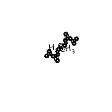 C[Si](C)(c1ccc2c(c1)-c1ccc3c(c1C2)c1cc(-n2c4ccccc4c4ccccc42)ccc1n3-c1ccccc1)c1ccc2c(c1)-c1ccc3c(c1C2)c1cc(-n2c4ccccc4c4ccccc42)ccc1n3-c1ccccc1